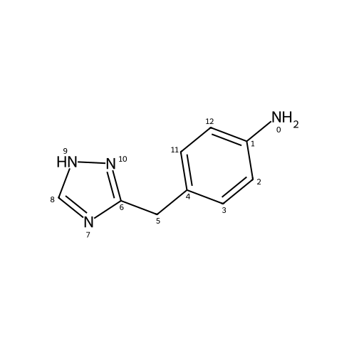 Nc1ccc(Cc2nc[nH]n2)cc1